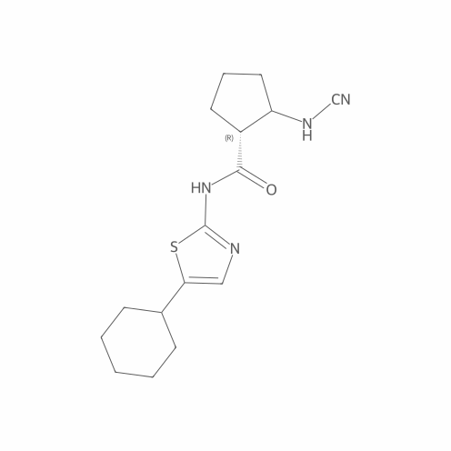 N#CNC1CCC[C@H]1C(=O)Nc1ncc(C2CCCCC2)s1